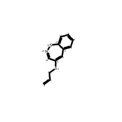 C=CCSC1=Cc2ccccc2SN=C1